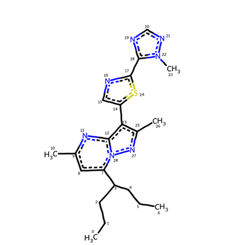 CCCC(CCC)c1cc(C)nc2c(-c3cnc(-c4ncnn4C)s3)c(C)nn12